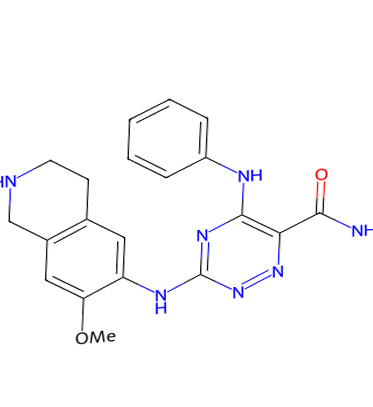 COc1cc2c(cc1Nc1nnc(C(N)=O)c(Nc3ccccc3)n1)CCNC2